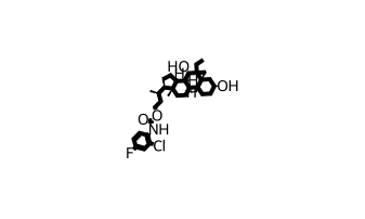 CCC12C[C@]13C[C@H](O)CC[C@]3(C)[C@H]1CC[C@]3(C)[C@@H]([C@H](C)CCOC(=O)Nc4ccc(F)cc4Cl)CC[C@H]3[C@@H]1[C@@H]2O